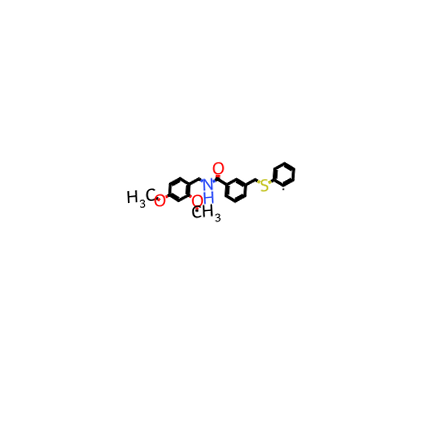 COc1ccc(CNC(=O)c2cccc(CSc3[c]cccc3)c2)c(OC)c1